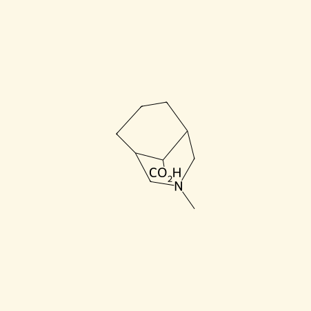 CN1CC2CCCC(C1)C2C(=O)O